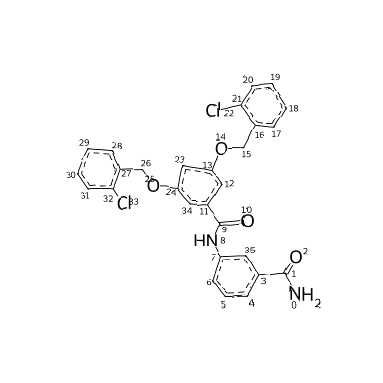 NC(=O)c1cccc(NC(=O)c2cc(OCc3ccccc3Cl)cc(OCc3ccccc3Cl)c2)c1